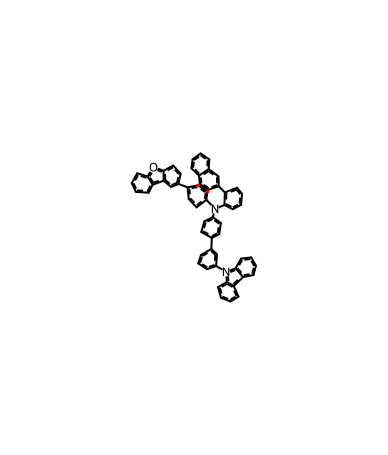 c1cc(-c2ccc(N(c3ccc(-c4ccc5oc6ccccc6c5c4)cc3)c3ccccc3-c3ccc4ccccc4c3)cc2)cc(-n2c3ccccc3c3ccccc32)c1